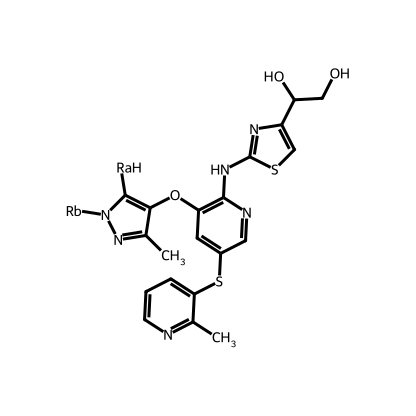 Cc1ncccc1Sc1cnc(Nc2nc(C(O)CO)cs2)c(Oc2c(C)n[n]([Rb])[c]2[RaH])c1